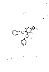 Cc1c(OCc2ccccc2)c(OCc2ccccc2)nc[n+]1[O-]